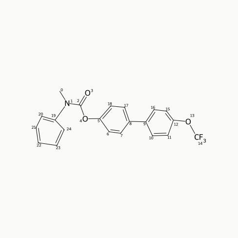 CN(C(=O)Oc1ccc(-c2ccc(OC(F)(F)F)cc2)cc1)c1ccccc1